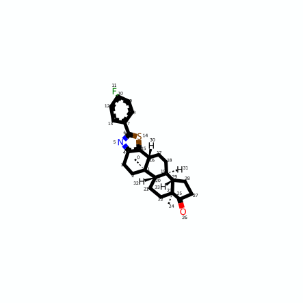 C[C@]12CCc3nc(-c4ccc(F)cc4)sc3[C@@H]1CC[C@@H]1[C@@H]2CC[C@]2(C)C(=O)CC[C@@H]12